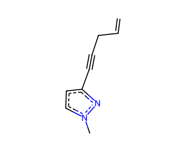 C=CCC#Cc1ccn(C)n1